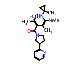 CN/C(NC1(C)CC1)=C(\C)C(C(=O)N1CCC(c2ccccn2)C1)=C(C)C